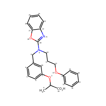 CC(Oc1cccc(CN(CCCOc2ccccc2)c2nc3ccccc3o2)c1)C(=O)O